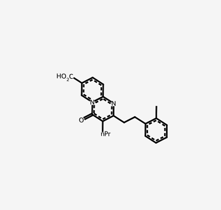 CCCc1c(CCc2ccccc2C)nc2ccc(C(=O)O)cn2c1=O